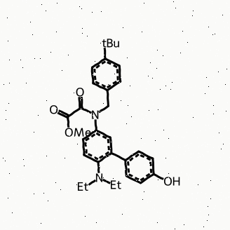 CCN(CC)c1ccc(N(Cc2ccc(C(C)(C)C)cc2)C(=O)C(=O)OC)cc1-c1ccc(O)cc1